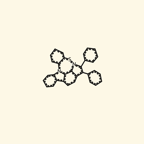 c1ccc(-c2c(-c3ccccc3)n3sc4ccccc4n4c5ccccc5c5ccc2c3c54)cc1